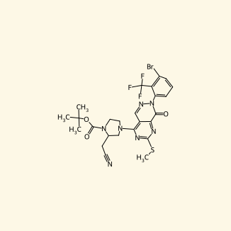 CSc1nc(N2CCN(C(=O)OC(C)(C)C)C(CC#N)C2)c2cnn(-c3cccc(Br)c3C(F)(F)F)c(=O)c2n1